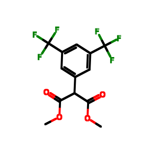 COC(=O)C(C(=O)OC)c1cc(C(F)(F)F)cc(C(F)(F)F)c1